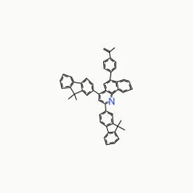 C=C(C)c1ccc(-c2cc3c(-c4ccc5c(c4)C(C)(C)c4ccccc4-5)cc(-c4ccc5c(c4)C(C)(C)c4ccccc4-5)nc3c3ccccc23)cc1